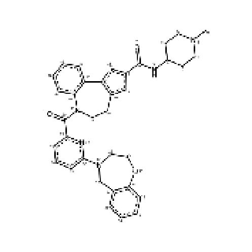 CN1CCC(NC(=O)c2cc3c(s2)-c2ccccc2N(C(=O)c2cccc(N4CCOc5ccccc5C4)n2)CC3)CC1